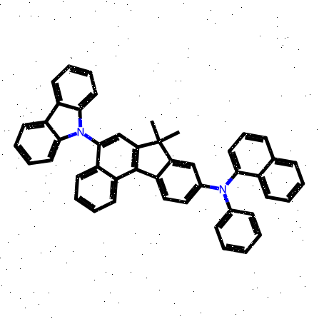 CC1(C)c2cc(N(c3ccccc3)c3cccc4ccccc34)ccc2-c2c1cc(-n1c3ccccc3c3ccccc31)c1ccccc21